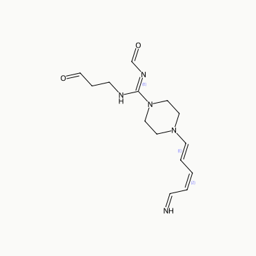 N=C/C=C\C=C\N1CCN(/C(=N/C=O)NCCC=O)CC1